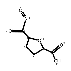 O=NC(=O)C1CCC(C(=O)O)O1